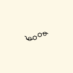 CC/C=C\OCC1CCC([C@H]2CC[C@H](COCC)CC2)CC1